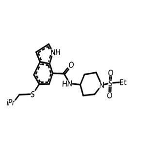 CCS(=O)(=O)N1CCC(NC(=O)c2cc(SCC(C)C)cc3cc[nH]c23)CC1